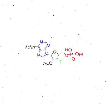 CC(=O)Nc1ncnc2c1ncn2[C@@H]1O[C@H](COP(=O)(O)O)[C@H](F)[C@@H]1OC(C)=O